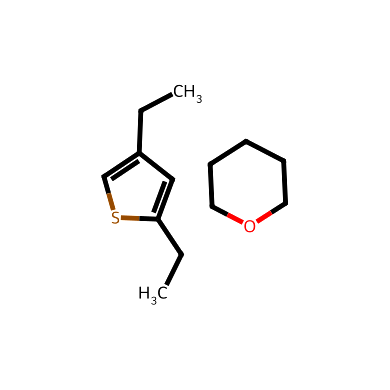 C1CCOCC1.CCc1csc(CC)c1